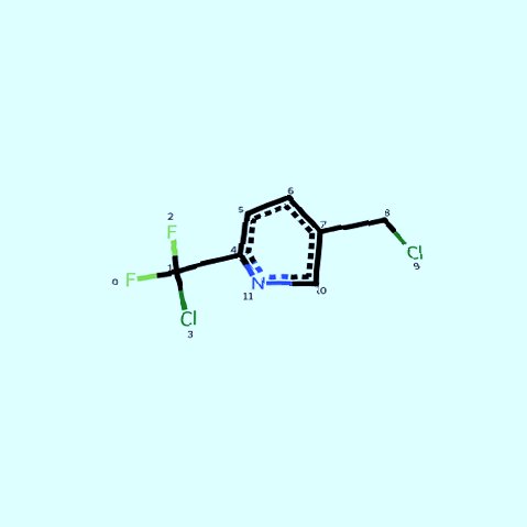 FC(F)(Cl)c1ccc(CCl)cn1